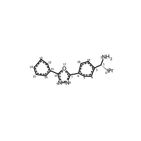 CC(C)[C@@H](N)c1ccc(-c2nnc(-c3ccccc3)o2)cc1